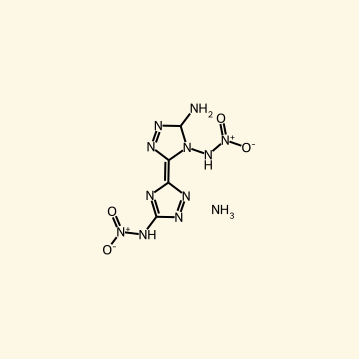 N.NC1N=NC(=C2N=NC(N[N+](=O)[O-])=N2)N1N[N+](=O)[O-]